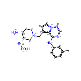 Cc1cccc(Nc2ncnn3ccc(CN4CC[C@@H](N)[C@@H](NC(=O)O)C4)c23)c1